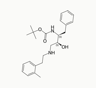 Cc1ccccc1CCNC[C@H](O)[C@H](Cc1ccccc1)NC(=O)OC(C)(C)C